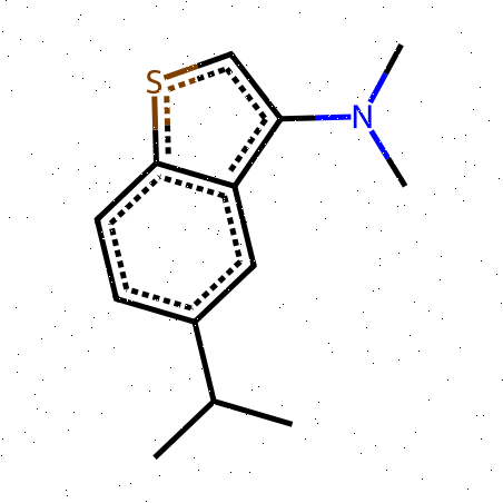 CC(C)c1ccc2scc(N(C)C)c2c1